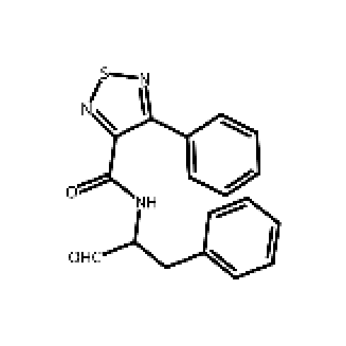 O=CC(Cc1ccccc1)NC(=O)c1nsnc1-c1ccccc1